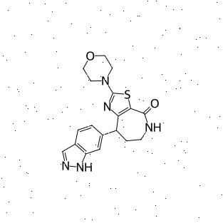 O=C1NCCC(c2ccc3cn[nH]c3c2)c2nc(N3CCOCC3)sc21